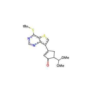 COC(OC)C1CC(c2csc3c(SC(C)(C)C)ncnc23)=CC1=O